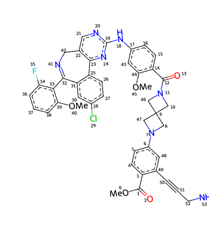 COC(=O)c1ccc(N2CC3(CN(C(=O)c4ccc(Nc5ncc6c(n5)-c5ccc(Cl)cc5C(c5c(F)cccc5OC)=NC6)cc4OC)C3)C2)cc1C#CCN